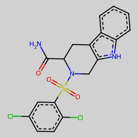 NC(=O)C1Cc2c([nH]c3ccccc23)CN1S(=O)(=O)c1cc(Cl)ccc1Cl